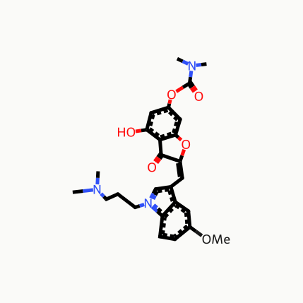 COc1ccc2c(c1)c(C=C1Oc3cc(OC(=O)N(C)C)cc(O)c3C1=O)cn2CCCN(C)C